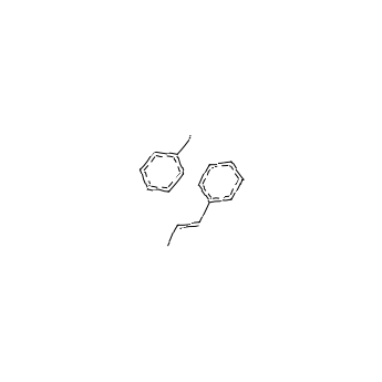 CC=Cc1ccccc1.Cc1ccccc1